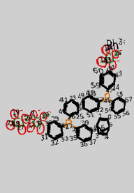 C1=CC2C=CC1C2.[O-][Cl+3]([O-])([O-])[O-].[O-][Cl+3]([O-])([O-])[O-].[O-][Cl+3]([O-])([O-])[O-].[Rh+3].c1ccc(P(c2ccccc2)c2ccccc2)cc1.c1ccc(P(c2ccccc2)c2ccccc2)cc1